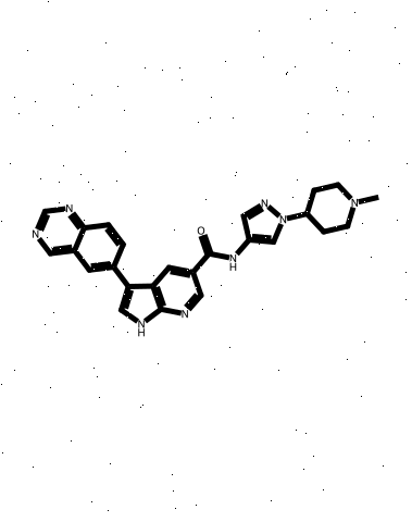 CN1CCC(n2cc(NC(=O)c3cnc4[nH]cc(-c5ccc6ncncc6c5)c4c3)cn2)CC1